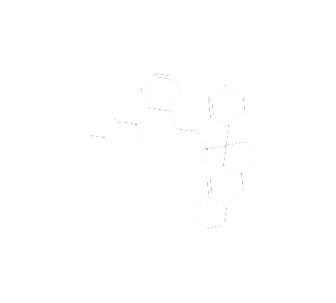 CC(C)CNC(=O)c1ccccc1CN1C(=O)C2(COc3cc4c(cc32)OCO4)c2ccccc21